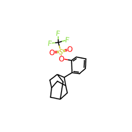 O=S(=O)(Oc1ccccc1C1C2CC3CC(C2)CC1C3)C(F)(F)F